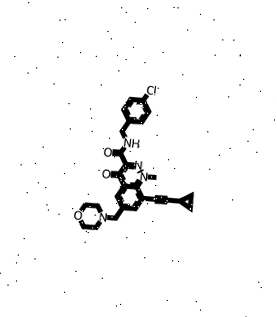 Cn1nc(C(=O)NCc2ccc(Cl)cc2)c(=O)c2cc(CN3CCOCC3)cc(C#CC3CC3)c21